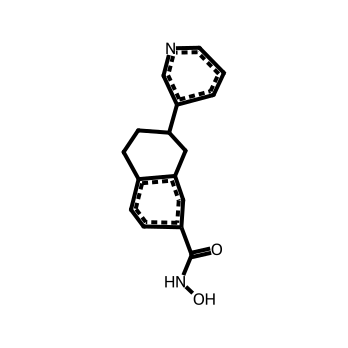 O=C(NO)c1ccc2c(c1)CC(c1cccnc1)CC2